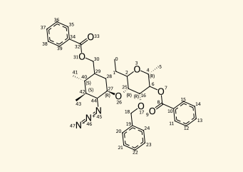 CCC1O[C@H](C)C(OC(=O)c2ccccc2)[C@H](OCc2ccccc2)[C@@H]1O[C@@H]1CC(COC(=O)c2ccccc2)[C@@H](C)[C@H](C)C1N=[N+]=[N-]